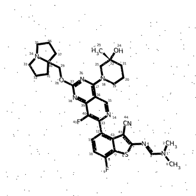 CN(C)/C=N/c1sc2c(F)ccc(-c3ncc4c(N5CCC[C@@](C)(O)C5)nc(OCC56CCCN5CCC6)nc4c3F)c2c1C#N